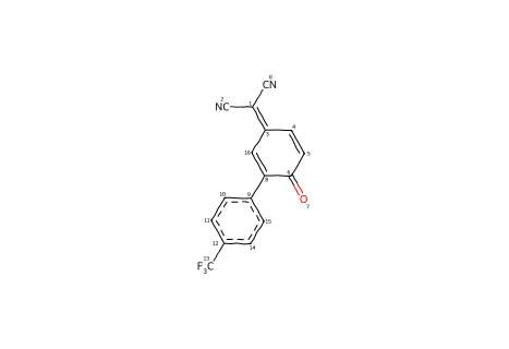 N#CC(C#N)=C1C=CC(=O)C(c2ccc(C(F)(F)F)cc2)=C1